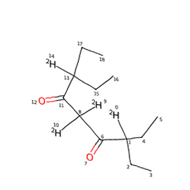 [2H]C(CC)(CC)C(=O)C([2H])([2H])C(=O)C([2H])(CC)CC